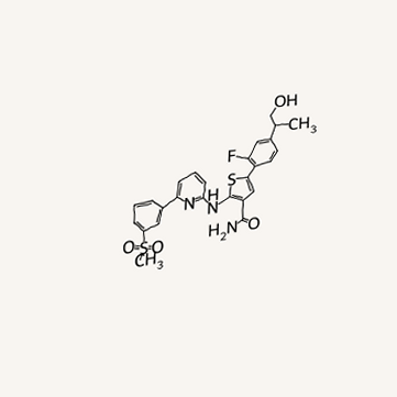 CC(CO)c1ccc(-c2cc(C(N)=O)c(Nc3cccc(-c4cccc(S(C)(=O)=O)c4)n3)s2)c(F)c1